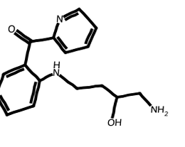 NCC(O)CCNc1ccccc1C(=O)c1ccccn1